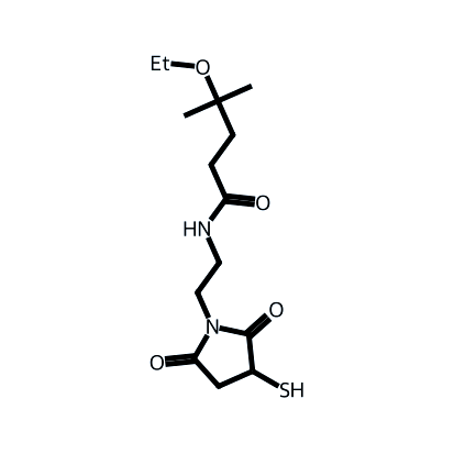 CCOC(C)(C)CCC(=O)NCCN1C(=O)CC(S)C1=O